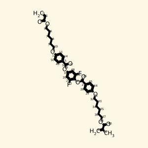 C=CC(=O)OCCCCCCOc1ccc(C(=O)Oc2cc(F)c(OC(=O)c3ccc(OCCCCCCOC(=O)C(=C)C)cc3)c(F)c2)cc1